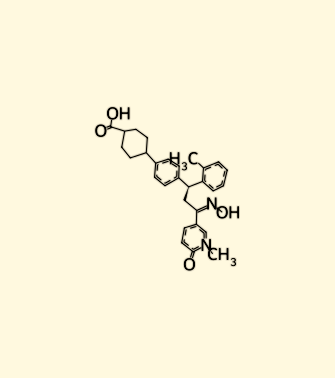 Cc1ccccc1[C@@H](C/C(=N/O)c1ccc(=O)n(C)c1)c1ccc(C2CCC(C(=O)O)CC2)cc1